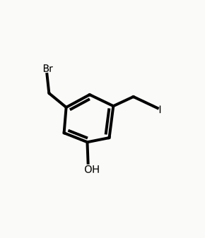 Oc1cc(CBr)cc(CI)c1